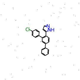 Clc1ccc(-c2[c]c(-c3ccccc3)ccc2-c2ccn[nH]2)cc1